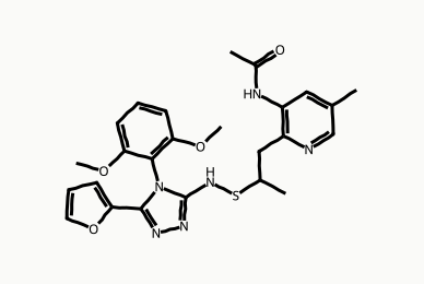 COc1cccc(OC)c1-n1c(NSC(C)Cc2ncc(C)cc2NC(C)=O)nnc1-c1ccco1